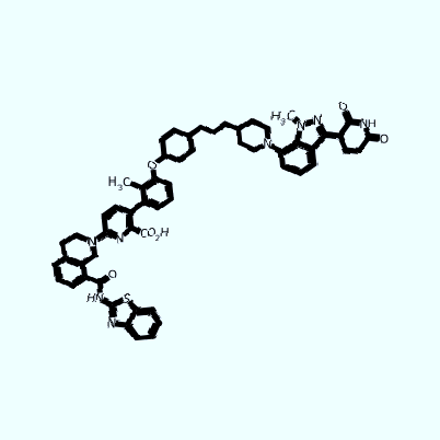 Cc1c(OC2CCC(CCCC3CCN(c4cccc5c(C6CCC(=O)NC6=O)nn(C)c45)CC3)CC2)cccc1-c1ccc(N2CCc3cccc(C(=O)Nc4nc5ccccc5s4)c3C2)nc1C(=O)O